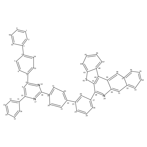 c1ccc(-c2ccc(-c3cc(-c4ccccc4)nc(-c4ccc(-c5cccc(-c6nc7cc8ccccc8cc7c7c6sc6ccccc67)c5)cc4)n3)cc2)cc1